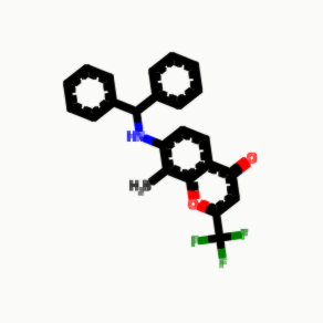 Bc1c(NC(c2ccccc2)c2ccccc2)ccc2c(=O)cc(C(F)(F)F)oc12